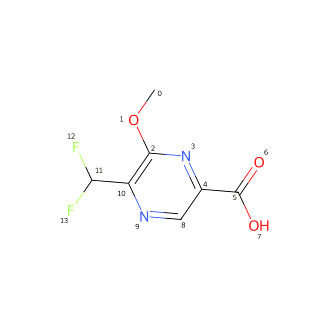 COc1nc(C(=O)O)cnc1C(F)F